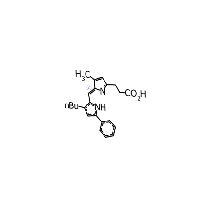 CCCCc1cc(-c2ccccc2)[nH]c1/C=C1\N=C(CCC(=O)O)C=C1C